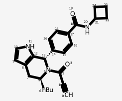 C#CC(=O)N1[C@@H](CCCC)Cc2cc[nH]c2[C@@H]1c1ccc(C(=O)NC2CCC2)cc1